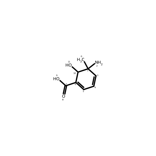 CC1(N)C=CC=C(C(=O)O)C1O